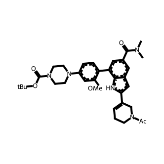 COc1cc(N2CCN(C(=O)OC(C)(C)C)CC2)ccc1-c1cc(C(=O)N(C)C)cc2cc(C3=CCCN(C(C)=O)C3)[nH]c12